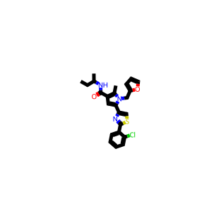 CCC(C)NC(=O)c1cc(-c2csc(-c3ccccc3Cl)n2)n(Cc2ccco2)c1C